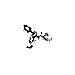 CC(C)CN1CCn2c(-c3ccccc3)nc(C(=O)N[C@H](CO)C(C)(C)C)c2C1